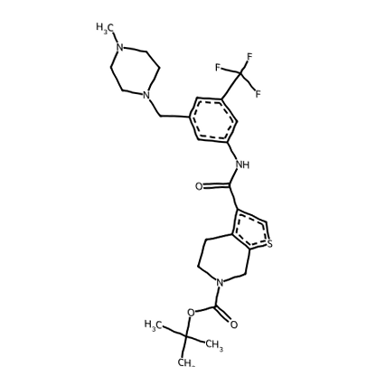 CN1CCN(Cc2cc(NC(=O)c3csc4c3CCN(C(=O)OC(C)(C)C)C4)cc(C(F)(F)F)c2)CC1